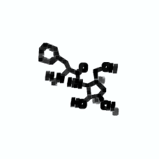 C[C@@H]1C[C@H](CO)C(NC(=O)C(N)Cc2ccccc2)C1O